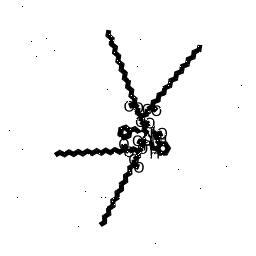 CCCCCCCCCCCCCCCCCC(=O)OCC(COC(=O)CCCCCCCCCCCCCCCCC)OC(=O)[C@H](CCc1ccccc1)N[C@@H](C)C(=O)N1[C@@H](OC(=O)OC(COC(=O)CCCCCCCCCCCCCCC)COC(=O)CCCCCCCCCCCCCCC)C[C@@H]2CCCC[C@@H]21